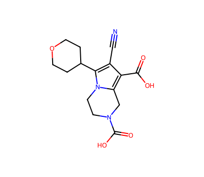 N#Cc1c(C(=O)O)c2n(c1C1CCOCC1)CCN(C(=O)O)C2